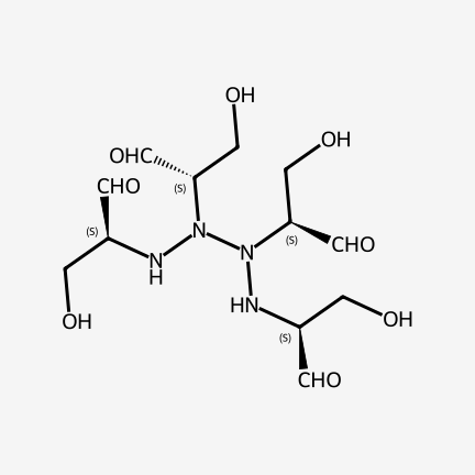 O=C[C@H](CO)NN([C@H](C=O)CO)N(N[C@H](C=O)CO)[C@H](C=O)CO